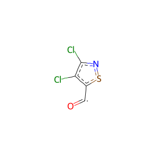 O=[C]c1snc(Cl)c1Cl